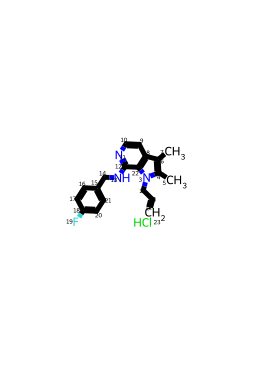 C=CCn1c(C)c(C)c2ccnc(NCc3ccc(F)cc3)c21.Cl